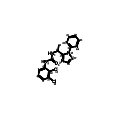 CC(NC(=O)Nc1cccc(Cl)c1Cl)c1ncnn1-c1ncccn1